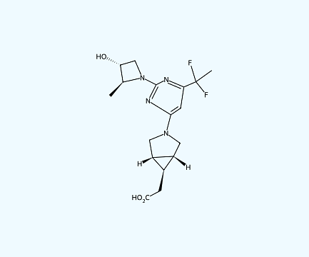 C[C@H]1[C@H](O)CN1c1nc(N2C[C@@H]3[C@@H](CC(=O)O)[C@@H]3C2)cc(C(C)(F)F)n1